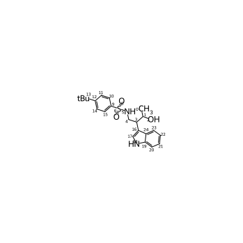 CC(O)C(CNS(=O)(=O)c1ccc(C(C)(C)C)cc1)c1c[nH]c2ccccc12